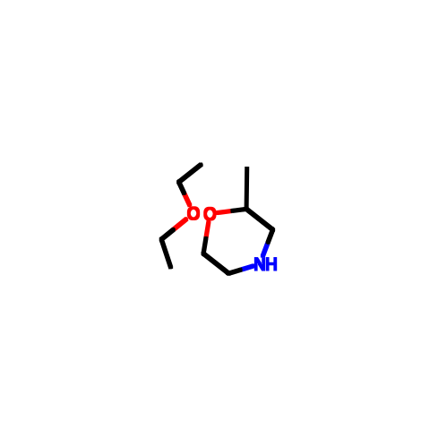 CC1CNCCO1.CCOCC